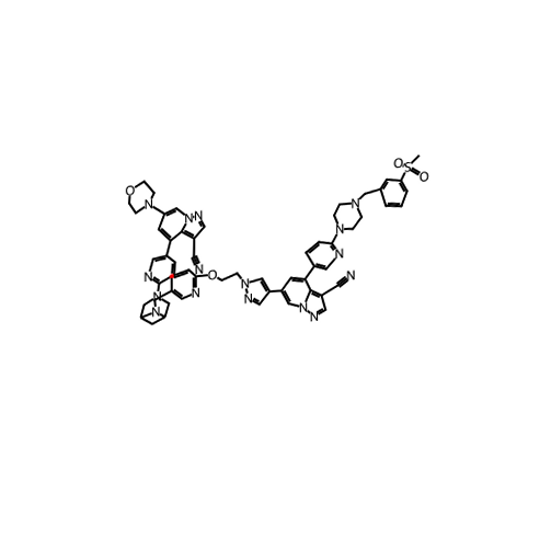 CS(=O)(=O)c1cccc(CN2CCN(c3ccc(-c4cc(-c5cnn(CCOc6ccc(CN7C8CC7CN(c7ccc(-c9cc(N%10CCOCC%10)cn%10ncc(C#N)c9%10)cn7)C8)cn6)c5)cn5ncc(C#N)c45)cn3)CC2)c1